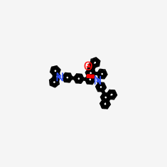 c1ccc(N(c2ccc(-c3ccc(-c4ccc(-n5c6ccccc6c6ccccc65)cc4)cc3)cc2)c2ccc(-c3cc4ccccc4c4ccccc34)cc2)c(-c2cccc3oc4ccccc4c23)c1